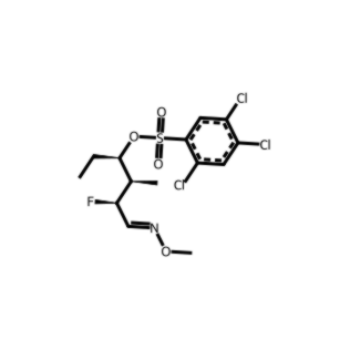 CC[C@@H](OS(=O)(=O)c1cc(Cl)c(Cl)cc1Cl)[C@@H](C)[C@H](F)/C=N/OC